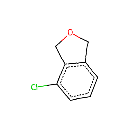 Clc1cccc2c1COC2